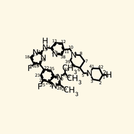 [2H]C1CCN(CC2CCN(Cc3ccc(Nc4ncc(F)c(-c5cc(F)c6nc(C)n(C(C)C)c6c5)n4)nc3)CC2)CC1